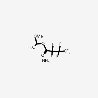 COC(C)OC(=O)C(F)(F)C(F)(F)C(F)(F)F.N